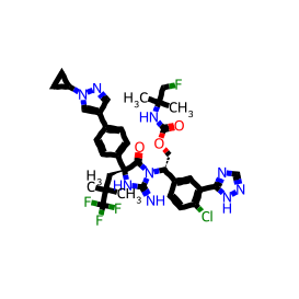 CC(C)(CF)NC(=O)OC[C@H](c1ccc(Cl)c(-c2ncn[nH]2)c1)N1C(=N)N[C@](CC(C)(C)C(F)(F)F)(c2ccc(-c3cnn(C4CC4)c3)cc2)C1=O